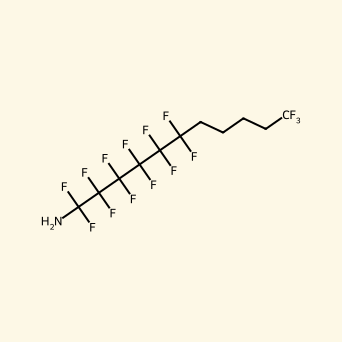 NC(F)(F)C(F)(F)C(F)(F)C(F)(F)C(F)(F)C(F)(F)CCCCC(F)(F)F